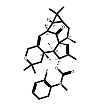 CC1=C[C@]23C(=O)[C@@H](C=C4COC(C)(C)C[C@H]4[C@]2(C)[C@H]1OC(=O)N(C)C1=C(F)C=CCC1)[C@H]1C(C[C@H]3C)C1(C)C